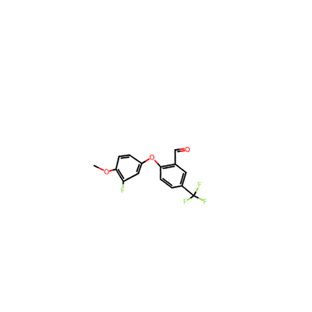 COc1ccc(Oc2ccc(C(F)(F)F)cc2C=O)cc1F